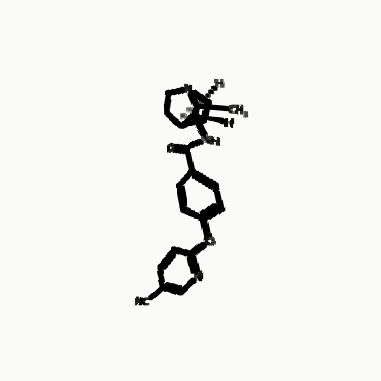 C[C@H]1[C@H](NC(=O)c2ccc(Oc3ccc(C#N)cn3)cc2)C2CCN1CC2